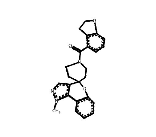 Cn1ncc2c1-c1ccccc1OC21CCN(C(=O)c2cccc3c2CCO3)CC1